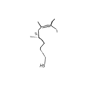 CC(C)=C(C)[C@@H](C)CCCS